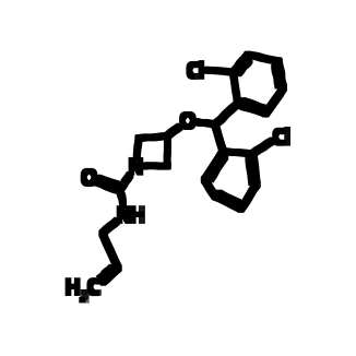 C=CCNC(=O)N1CC(OC(c2ccccc2Cl)c2ccccc2Cl)C1